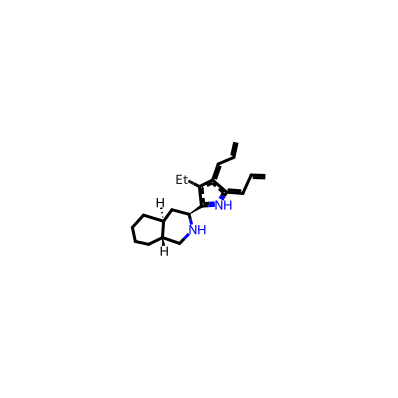 C=C/C=c1/c(CC)c([C@@H]2C[C@@H]3CCCC[C@H]3CN2)[nH]/c1=C/C=C